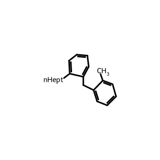 CCCCCCCc1ccccc1Cc1ccccc1C